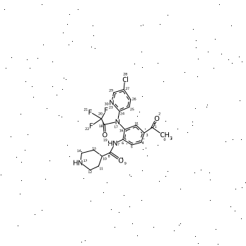 CC(=O)c1ccc(NC(=O)C2CCNCC2)c(N(C(=O)C(F)(F)F)c2ccc(Cl)cn2)c1